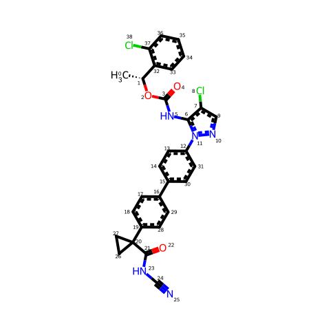 C[C@@H](OC(=O)Nc1c(Cl)cnn1-c1ccc(-c2ccc(C3(C(=O)NC#N)CC3)cc2)cc1)c1ccccc1Cl